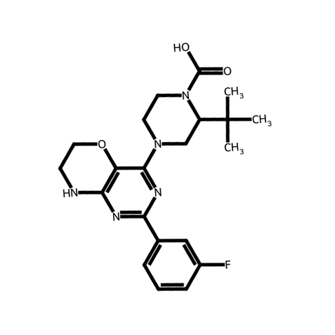 CC(C)(C)C1CN(c2nc(-c3cccc(F)c3)nc3c2OCCN3)CCN1C(=O)O